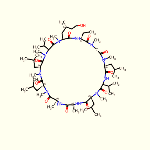 CC[C@@H]1NC(=O)C(C[C@H](C)CCO)N(C)C(=O)C(C(C)C)N(C)C(=O)[C@H](CC(C)C)N(C)C(=O)[C@H](CC(C)C)N(C)C(=O)[C@@H](C)NC(=O)[C@H](C)NC(=O)[C@H](CC(C)C)N(C)C(=O)C(C(C)C)NC(=O)[C@H](CC(C)C)N(C)C(=O)CN(C)C1=O